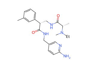 CCN(C)[C@@H](C)C(=O)NC[C@H](C(=O)NCc1ccc(N)nc1)c1cccc(C)c1